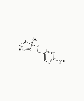 C=C[Si](C)(C=C)COc1ccc(C(=O)O)cc1